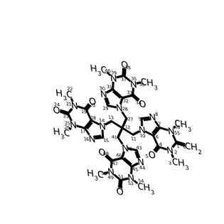 C=C1N(C)C(=O)c2c(ncn2CC(Cn2cnc3c2c(=O)n(C)c(=O)n3C)(Cn2cnc3c2c(=O)n(C)c(=O)n3C)Cn2cnc3c2c(=O)n(C)c(=O)n3C)N1C